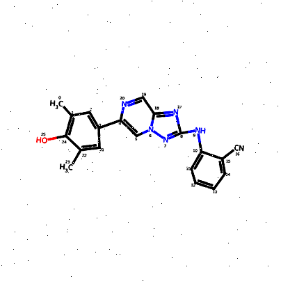 Cc1cc(-c2cn3nc(Nc4ccccc4C#N)nc3cn2)cc(C)c1O